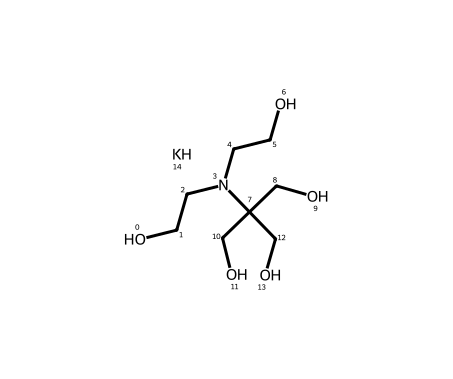 OCCN(CCO)C(CO)(CO)CO.[KH]